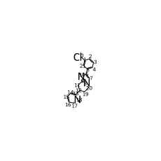 Clc1cccc(-c2cn3c(n2)CC(c2ccccn2)CC3)c1